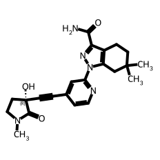 CN1CC[C@@](O)(C#Cc2ccnc(-n3nc(C(N)=O)c4c3CC(C)(C)CC4)c2)C1=O